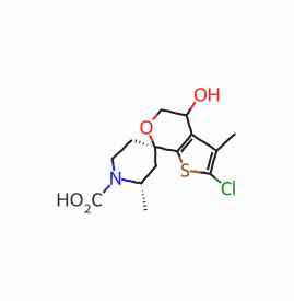 Cc1c(Cl)sc2c1C(O)CO[C@@]21CCN(C(=O)O)[C@@H](C)C1